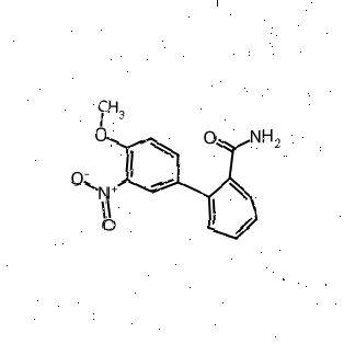 COc1ccc(-c2ccccc2C(N)=O)cc1[N+](=O)[O-]